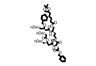 CCCCCCCCCCCC(=O)O[C@H](CCCCCCCCCCC)CC(=O)N[C@@H](CC(=O)OCc1ccccc1)C(=O)NCCC[C@H](COC(=O)CCCCC1COC(C)(C)O1)NC(=O)C[C@@H](CCCCCCCCCCC)OCc1ccccc1